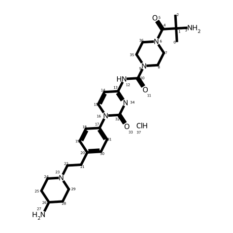 CC(C)(N)C(=O)N1CCN(C(=O)Nc2ccn(-c3ccc(CCN4CCC(N)CC4)cc3)c(=O)n2)CC1.Cl